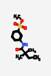 CCC(C)(C)C(=O)Nc1cccc(S(=O)(=O)OC)c1